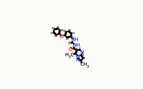 Cc1cc2ncc(C(=O)NC(=S)Nc3cccc(Oc4ccccc4)c3)c(C)n2n1